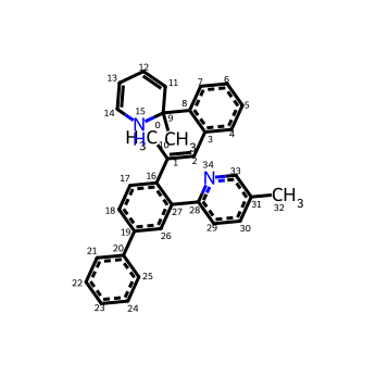 C/C(=C\c1ccccc1C1(C)C=CC=CN1)c1ccc(-c2ccccc2)cc1-c1ccc(C)cn1